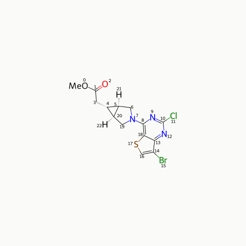 COC(=O)C[C@@H]1[C@H]2CN(c3nc(Cl)nc4c(Br)csc34)C[C@@H]12